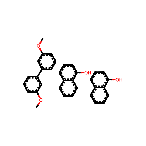 COc1cccc(-c2cccc(OC)c2)c1.Oc1cccc2ccccc12.Oc1cccc2ccccc12